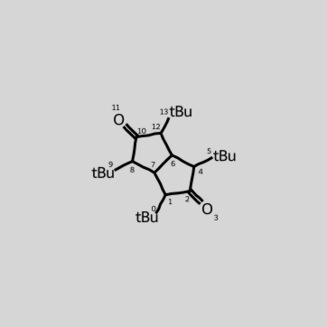 CC(C)(C)C1C(=O)C(C(C)(C)C)C2C1C(C(C)(C)C)C(=O)C2C(C)(C)C